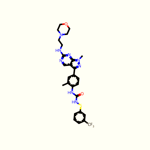 Cc1cc(-c2nn(C)c3nc(NCCN4CCOCC4)ncc23)ccc1NC(=O)NSc1cccc(C(F)(F)F)c1